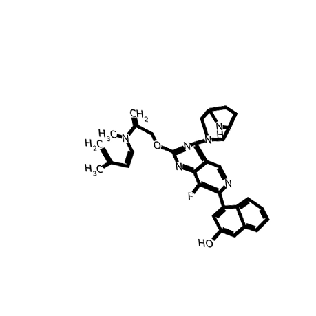 C=C(C)/C=C\N(C)C(=C)COc1nc(N2CC3CCC(C2)N3)c2cnc(-c3cc(O)cc4ccccc34)c(F)c2n1